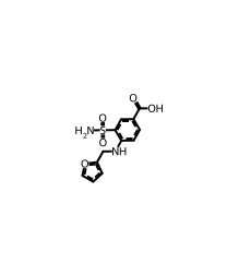 NS(=O)(=O)c1cc(C(=O)O)ccc1NCc1ccco1